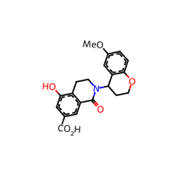 COc1ccc2c(c1)C(N1CCc3c(O)cc(C(=O)O)cc3C1=O)CCO2